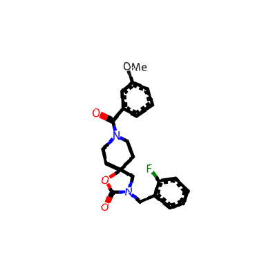 COc1cccc(C(=O)N2CCC3(CC2)CN(Cc2ccccc2F)C(=O)O3)c1